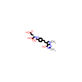 Cc1nc(O)c2c(n1)N(C)CC2CCc1ccc(C(=O)N[C@@H](CCC(=O)O)C(=O)O)cc1